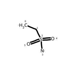 [CH2]CS([N])(=O)=O